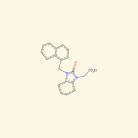 CCOC(=O)Cn1c(=O)n(Cc2cccc3ccccc23)c2ccccc21